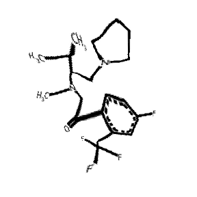 CC(C)[C@@H](CN1CCCC1)N(C)C(=O)c1ccc(F)cc1C(F)(F)F